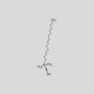 CCCCCCCCCCCCCCCCC[Si](C)(C)C#CS